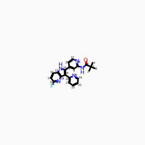 CC(C)(C)C(=O)Nc1cc(-c2[nH]c3ccc(F)nc3c2-c2ccccn2)ccn1